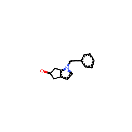 O=C1Cc2ccn(Cc3ccccc3)c2C1